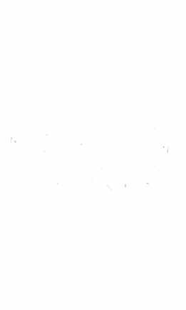 N#Cc1cccc(-c2cccc(-c3ccc4c(c3)C(c3ccccc3)(c3ccccc3)c3cc(-c5cccc(-c6nc7ccccc7o6)c5)ccc3-4)c2)c1